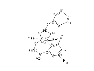 O=C1NC[C@H]2CN(Cc3ccccc3)C[C@@H]2c2c(F)cc(F)cc21